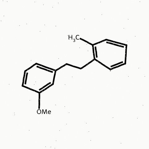 COc1cccc(CCc2[c]cccc2C)c1